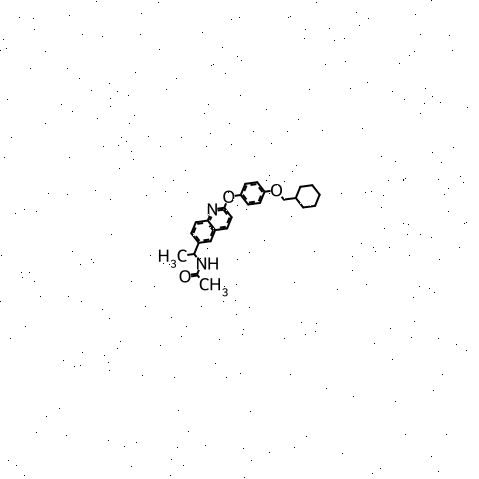 CC(=O)NC(C)c1ccc2nc(Oc3ccc(OCC4CCCCC4)cc3)ccc2c1